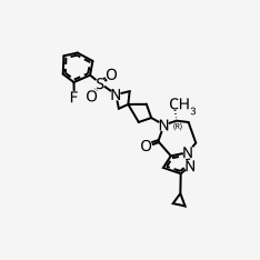 C[C@@H]1CCn2nc(C3CC3)cc2C(=O)N1C1CC2(C1)CN(S(=O)(=O)c1ccccc1F)C2